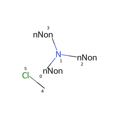 CCCCCCCCCN(CCCCCCCCC)CCCCCCCCC.CCl